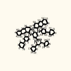 c1ccc(-c2ccc(N3c4cc(-c5nc(-c6ccccc6)cc(-c6ccccc6)n5)cc5c4B(c4ccc6cc7ccccc7cc6c43)c3ccc4cc6ccccc6cc4c3N5c3ccc(-c4ccccc4)cc3)cc2)cc1